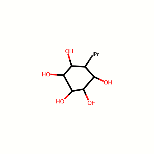 CC(C)C1C(O)C(O)C(O)C(O)C1O